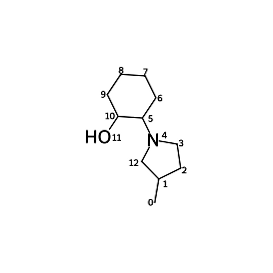 CC1CCN(C2CCCCC2O)C1